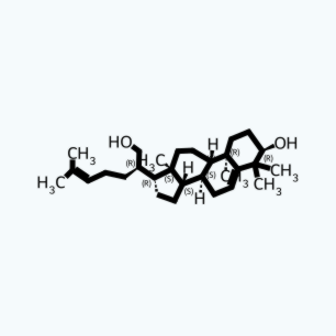 CC(C)=CCC[C@@H](CO)[C@H]1CC[C@H]2[C@@H]3CC=C4C(C)(C)[C@H](O)CC[C@]4(C)[C@H]3CC[C@]12C